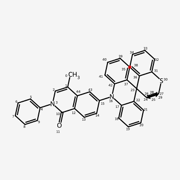 Cc1cn(-c2ccccc2)c(=O)c2ccc(N3c4ccccc4C4(c5ccccc5Sc5ccccc54)c4ccccc43)cc12